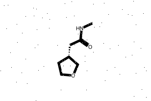 CNC(=O)C[C@H]1CCOC1